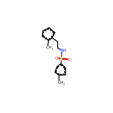 Cc1ccc(S(=O)(=O)NCCc2ccccc2C)cc1